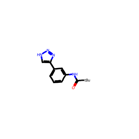 CC(C)(C)C(=O)Nc1cccc(-c2c[nH]nn2)c1